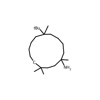 CC1(C)CCCCCC(C)(C(C)(C)C)CCCCC(C)(N)CC1